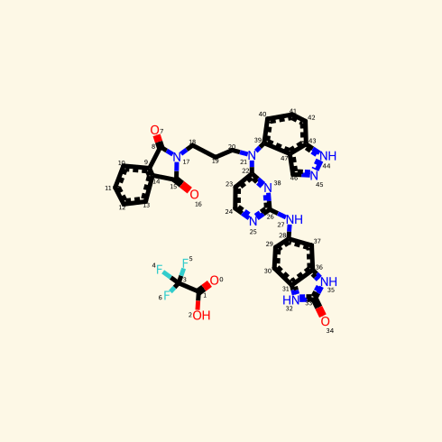 O=C(O)C(F)(F)F.O=C1c2ccccc2C(=O)N1CCCN(c1ccnc(Nc2ccc3[nH]c(=O)[nH]c3c2)n1)c1cccc2[nH]ncc12